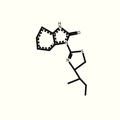 CCC(C)C1CSC(n2c(=O)[nH]c3ccccc32)=N1